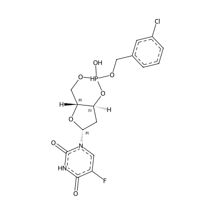 O=c1[nH]c(=O)n([C@H]2C[C@@H]3O[PH](O)(OCc4cccc(Cl)c4)OC[C@H]3O2)cc1F